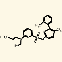 Cc1ccccc1-c1nc(NS(=O)(=O)c2cccc(N(CCC(=O)O)CC(C)C)n2)ccc1C(F)(F)F